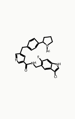 CC(=O)N1CCCC1c1ccc(Cc2cncc(C(=O)NCc3cc4c(Cl)c[nH]c4cc3F)c2)cc1